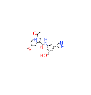 COc1ccn2c(C(C)=O)cc(C(=O)Nc3cc(CO)cc(-c4cnn(C)c4)c3C)c2c1